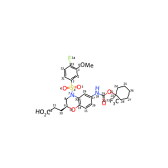 COc1cc(S(=O)(=O)N2C[C@H](CCC(=O)O)Oc3ccc(NC(=O)OC4(C(F)(F)F)CCCCC4)cc32)ccc1F